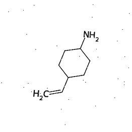 C=CC1CCC(N)CC1